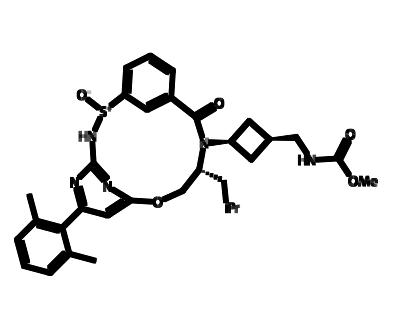 COC(=O)NC[C@H]1C[C@@H](N2C(=O)c3cccc(c3)[S+]([O-])Nc3nc(cc(-c4c(C)cccc4C)n3)OC[C@H]2CC(C)C)C1